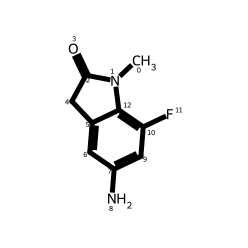 CN1C(=O)Cc2cc(N)cc(F)c21